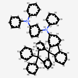 c1ccc(N(c2ccccc2)c2cccc(N(c3ccccc3)c3ccc4c(c3)C3(c5ccccc5-4)c4ccccc4C(c4ccccc4)(c4ccccc4)c4ccccc43)c2)cc1